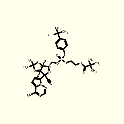 CC1(C)O[C@H]2[C@@H](O1)C(C#N)(c1ccc3c(N)ncnn13)O[C@@H]2COP(=O)(OCCOC(=S)C(C)(C)C)Oc1ccc(C(C)(C)C)cc1